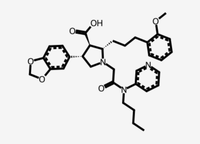 CCCCN(C(=O)CN1C[C@H](c2ccc3c(c2)OCO3)[C@@H](C(=O)O)[C@@H]1CCCc1ccccc1OC)c1cccnc1